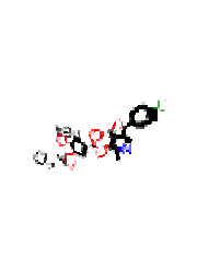 Cc1ncc2c(c1OC(=O)[C@@H]1C[C@@H](O[N+](=O)[O-])[C@H](OC(C)(C)C)C1)COC2c1ccc(Cl)cc1